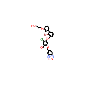 N=C1C=C(COc2cc(OCc3cccc(-c4cccc(OCCCO)c4)c3Br)c(Cl)cc2C=O)C=C/C1=N/O